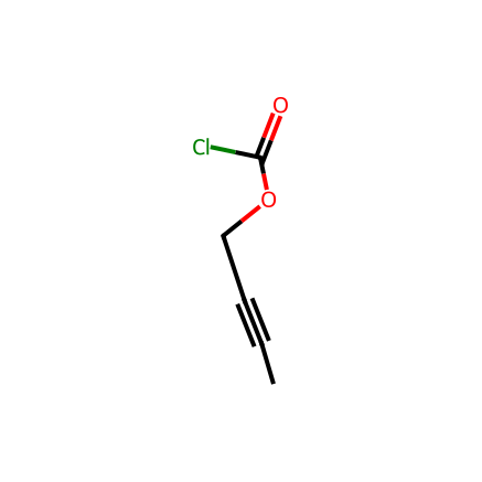 CC#CCOC(=O)Cl